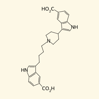 O=C(O)c1ccc2[nH]cc(CCCCN3CCC(c4c[nH]c5ccc(C(=O)O)cc45)CC3)c2c1